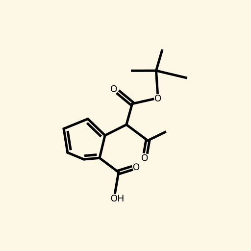 CC(=O)C(C(=O)OC(C)(C)C)c1ccccc1C(=O)O